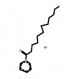 CCCCCCCCCCCC(=O)[n+]1ccccc1.[Br-]